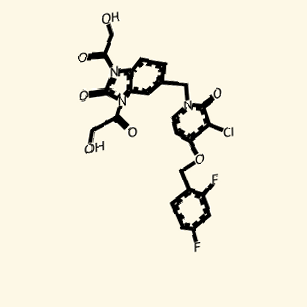 O=C(CO)n1c(=O)n(C(=O)CO)c2cc(Cn3ccc(OCc4ccc(F)cc4F)c(Cl)c3=O)ccc21